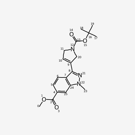 COC(=O)c1ccc2c(C3=CCN(C(=O)OC(C)(C)C)C3)nn(C)c2c1